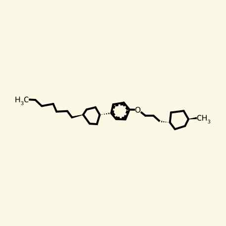 CCCCCCC[C@H]1CC[C@H](c2ccc(OCCC[C@H]3CC[C@H](C)CC3)cc2)CC1